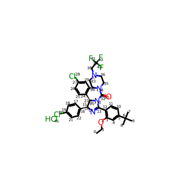 CCOc1cc(C(C)(C)C)ccc1C1=N[C@@H](c2ccc(Cl)cc2)[C@@H](c2ccc(Cl)cc2)N1C(=O)N1CCN(CC(F)(F)F)CC1.Cl